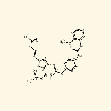 COc1cccnc1NC(=O)Nc1ccc(CC(=O)NC(CC(C)C)c2cn(CCCC(=O)O)cn2)cc1